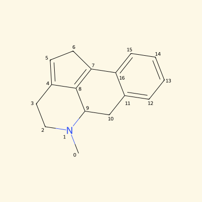 CN1CCC2=CCC3=C2C1Cc1ccccc13